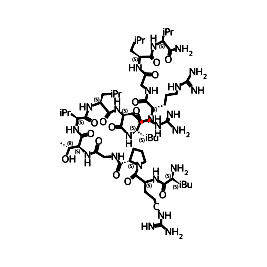 CC[C@H](C)[C@H](N)C(=O)N[C@@H](CCCNC(=N)N)C(=O)N1CCC[C@H]1C(=O)NCC(=O)N[C@H](C(=O)N[C@H](C(=O)N[C@@H](CC(C)C)C(=O)N[C@@H](CCCNC(=N)N)C(=O)N[C@H](C(=O)N[C@@H](CCCNC(=N)N)C(=O)NCC(=O)N[C@@H](CC(C)C)C(=O)N[C@H](C(N)=O)C(C)C)[C@@H](C)CC)C(C)C)[C@@H](C)O